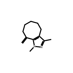 C=C1CCCCCc2c(C)nn(C)c21